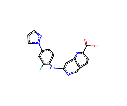 O=C(O)c1ccc2cnc(Nc3ccc(-n4cccn4)cc3F)cc2n1